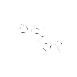 COc1nn(-c2cncc(O)c2)cc1C(=O)Nc1cccc(-c2nncn2C(C)C)n1